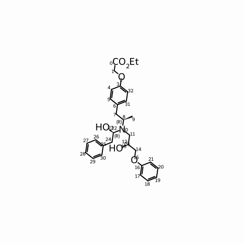 CCOC(=O)COc1ccc(C[C@@H](C)N(C[C@H](O)COc2ccccc2)[C@H](O)Cc2ccccc2)cc1